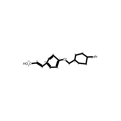 CCCC1CCC(COc2ccc(/C=C/C(=O)O)cc2)CC1